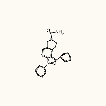 NC(=O)N1CCc2c(cnc3c2c(-c2ccccc2)nn3-c2ccccc2)C1